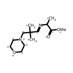 COC(=O)C(C)/N=C/C(C)(C)CN1CCOCC1